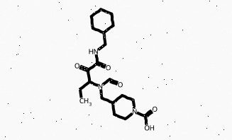 CCC(C(=O)C(=O)NCC1CCCCC1)N(C=O)CC1CCN(C(=O)O)CC1